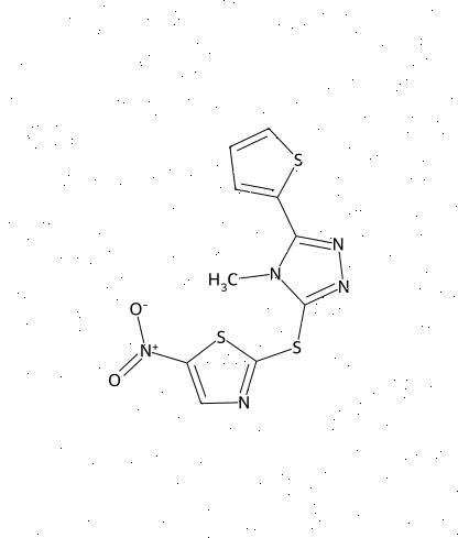 Cn1c(Sc2ncc([N+](=O)[O-])s2)nnc1-c1cccs1